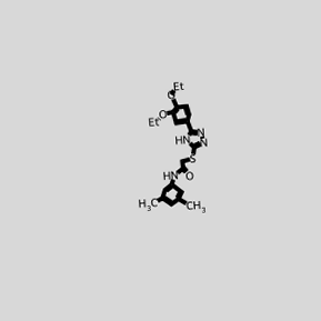 CCOc1ccc(-c2nnc(SCC(=O)Nc3cc(C)cc(C)c3)[nH]2)cc1OCC